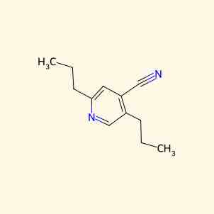 CCCc1cc(C#N)c(CCC)cn1